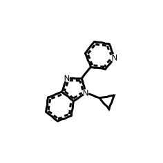 c1cncc(-c2nc3ccccc3n2C2CC2)c1